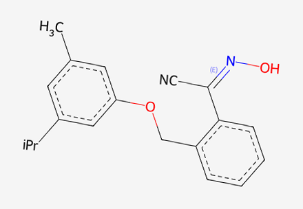 Cc1cc(OCc2ccccc2/C(C#N)=N\O)cc(C(C)C)c1